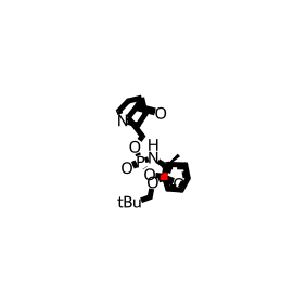 C[C@H](NP(=O)(OCC1C(=O)C2CCN1CC2)Oc1ccccc1)C(=O)OCC(C)(C)C